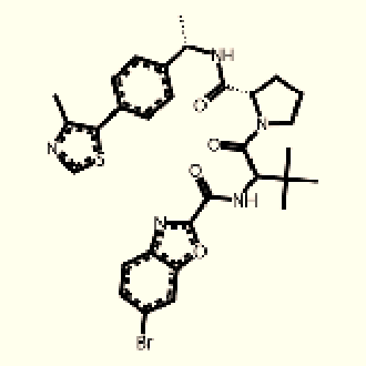 Cc1ncsc1-c1ccc([C@H](C)NC(=O)[C@@H]2CCCN2C(=O)C(NC(=O)c2nc3ccc(Br)cc3o2)C(C)(C)C)cc1